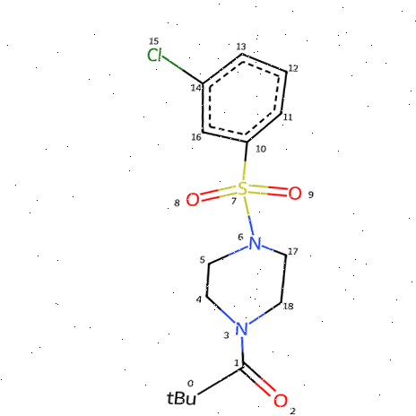 CC(C)(C)C(=O)N1CCN(S(=O)(=O)c2cccc(Cl)c2)CC1